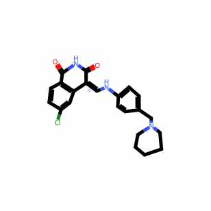 O=C1NC(=O)c2ccc(Cl)cc2/C1=C/Nc1ccc(CN2CCCCC2)cc1